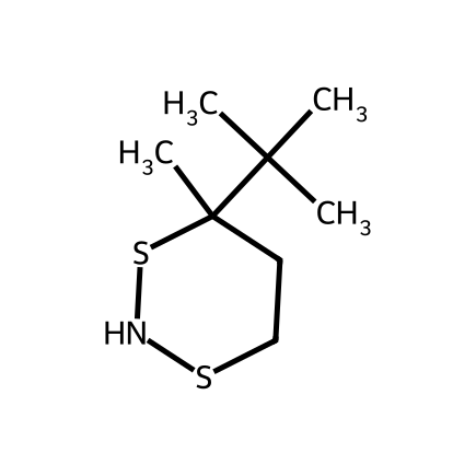 CC(C)(C)C1(C)CCSNS1